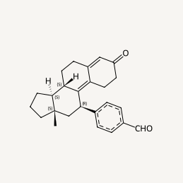 C[C@@]12CCC[C@H]1[C@@H]1CCC3=CC(=O)CCC3=C1[C@@H](c1ccc(C=O)cc1)C2